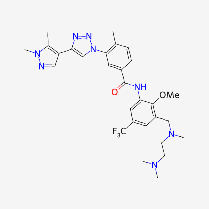 COc1c(CN(C)CCN(C)C)cc(C(F)(F)F)cc1NC(=O)c1ccc(C)c(-n2cc(-c3cnn(C)c3C)nn2)c1